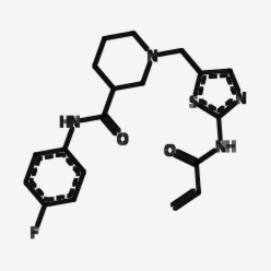 C=CC(=O)Nc1ncc(CN2CCCC(C(=O)Nc3ccc(F)cc3)C2)s1